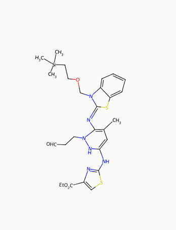 CCOC(=O)c1csc(NC2=CC(C)=C(/N=c3\sc4ccccc4n3COCC[Si](C)(C)C)N(CCC=O)N2)n1